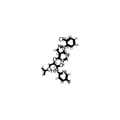 CC(C)OCC(Oc1ncnc2c1cnn2-c1ccccc1Cl)C(=O)Nc1ccc(F)cn1